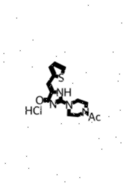 CC(=O)N1CCN(C2=NC(=O)C(=Cc3cccs3)N2)CC1.Cl